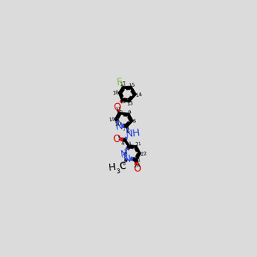 Cn1nc(C(=O)Nc2ccc(Oc3cccc(F)c3)cn2)ccc1=O